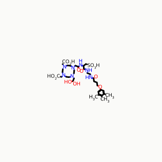 Cc1cc(OCCCC(=O)NCCNC(=O)C(CS(=O)(=O)O)NC(=O)CN2CCN(CC(=O)O)CCN(CC(=O)O)CCN(CC(O)O)CC2)cc(C)c1C